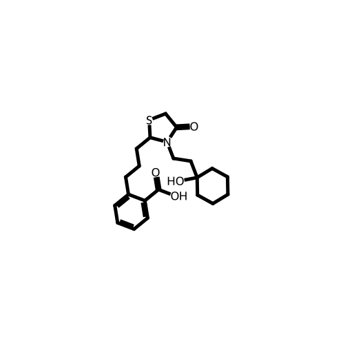 O=C(O)c1ccccc1CCCC1SCC(=O)N1CCC1(O)CCCCC1